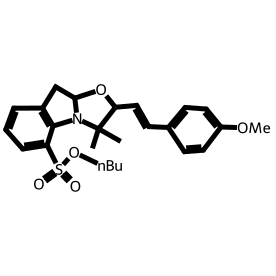 CCCCOS(=O)(=O)c1cccc2c1N1C(C2)OC(C=Cc2ccc(OC)cc2)C1(C)C